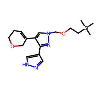 C[Si](C)(C)CCOCn1cc(C2=CCCOC2)c(-c2cn[nH]c2)n1